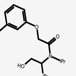 Cc1cccc(OCC(=O)N(C(C)C)C(CO)C(C)C)c1